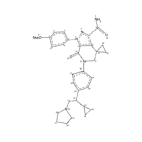 COc1ccc(-n2nc(C(N)=O)c3c2C(=O)N(c2ccc(C(CN4CCCC4)C4CC4)cc2)CC32CC2)cc1